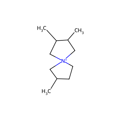 CC1CC[N+]2(C1)CC(C)C(C)C2